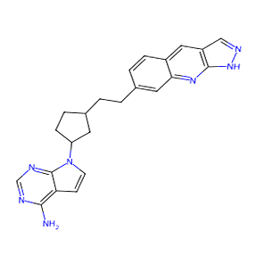 Nc1ncnc2c1ccn2C1CCC(CCc2ccc3cc4cn[nH]c4nc3c2)C1